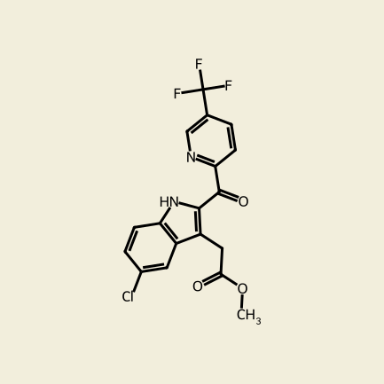 COC(=O)Cc1c(C(=O)c2ccc(C(F)(F)F)cn2)[nH]c2ccc(Cl)cc12